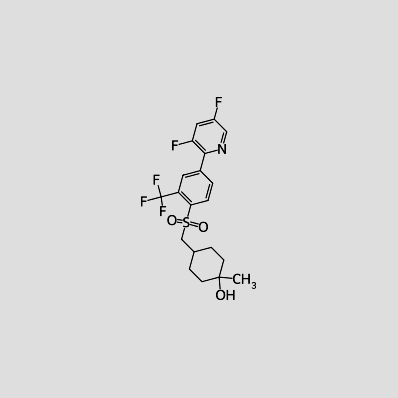 CC1(O)CCC(CS(=O)(=O)c2ccc(-c3ncc(F)cc3F)cc2C(F)(F)F)CC1